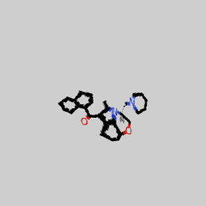 Cc1c(C(=O)c2cccc3ccccc23)c2cccc3c2n1[C@H](CN1CCCCC1)CO3